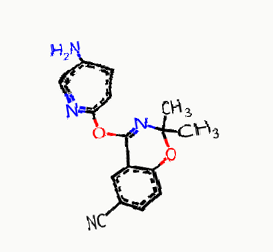 CC1(C)N=C(Oc2ccc(N)cn2)c2cc(C#N)ccc2O1